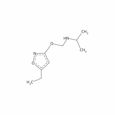 CCc1cc(OCNC(C)C)no1